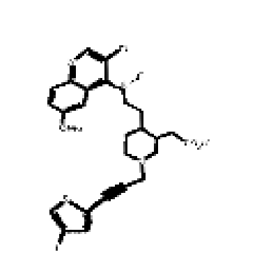 COc1ccc2ncc(Cl)c([C@H](F)CCC3CCN(CC#Cc4cc(F)cs4)CC3CC(=O)O)c2c1